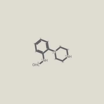 O=CNc1ccccc1N1CCNCC1